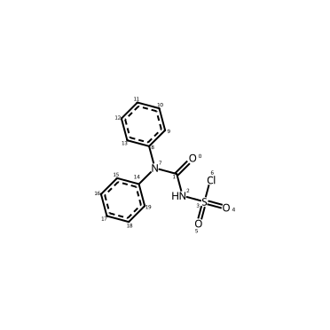 O=C(NS(=O)(=O)Cl)N(c1ccccc1)c1ccccc1